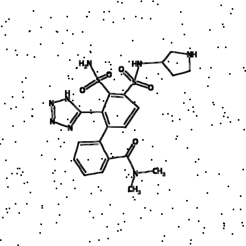 CN(C)C(=O)c1ccccc1-c1ccc(S(=O)(=O)NC2CCNC2)c(S(N)(=O)=O)c1-c1nnn[nH]1